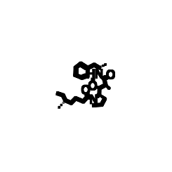 CC[C@@H](C)CCCC(=O)N1CCC[C@@H]1[C@@H](OC)[C@H](C)C(=O)N[C@@H](C)Cc1ccccc1